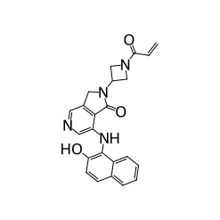 C=CC(=O)N1CC(N2Cc3cncc(Nc4c(O)ccc5ccccc45)c3C2=O)C1